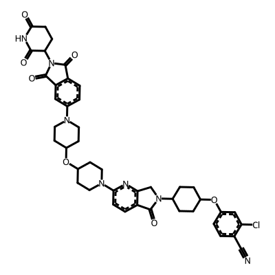 N#Cc1ccc(OC2CCC(N3Cc4nc(N5CCC(OC6CCN(c7ccc8c(c7)C(=O)N(C7CCC(=O)NC7=O)C8=O)CC6)CC5)ccc4C3=O)CC2)cc1Cl